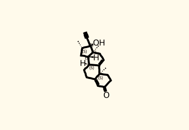 C#C[C@@]1(O)[C@@H](C)C[C@H]2[C@@H]3CCC4=CC(=O)CC[C@]4(C)C3=CC[C@@]21C